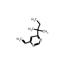 C=Cc1cc(C(C)(C)CC)ncn1